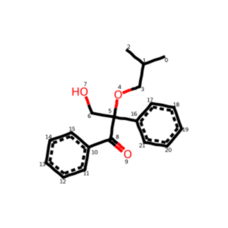 CC(C)COC(CO)(C(=O)c1ccccc1)c1ccccc1